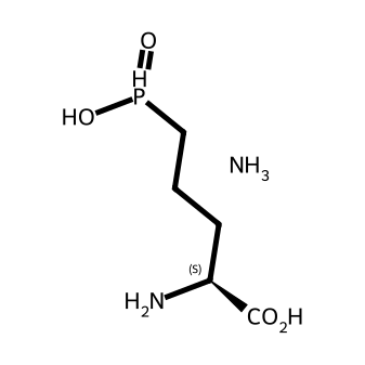 N.N[C@@H](CCC[PH](=O)O)C(=O)O